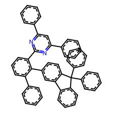 c1ccc(-c2cc(-c3ccccc3)nc(-c3cccc(-c4ccccc4)c3-c3ccc4c(c3)-c3ccccc3C4(c3ccccc3)c3ccccc3)n2)cc1